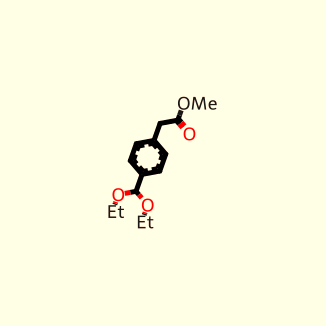 CCOC(OCC)c1ccc(CC(=O)OC)cc1